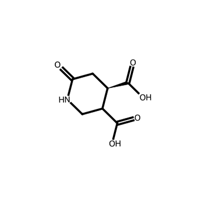 O=C1C[C@@H](C(=O)O)C(C(=O)O)CN1